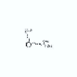 CCCCCCCCC(C=CC=Cc1ccccc1CCCCC(=O)O)OC(C)=O